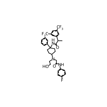 CC(C(=O)NC1(c2ccccc2)CCC(N(CCO)CC(=O)Nc2ccc(F)cc2)CC1)c1cc(C(F)(F)F)cc(C(F)(F)F)c1